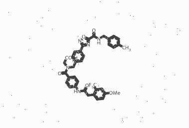 COc1ccc(CC(=O)Nc2ccc(C(=O)N(CC(=O)O)Cc3ccc(-c4noc(C(=O)NCc5ccc(C)cc5)n4)cc3)cc2)c(C(F)(F)F)c1